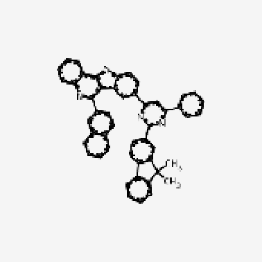 CC1(C)c2ccccc2-c2ccc(-c3nc(-c4ccccc4)cc(-c4ccc5sc6c7ccccc7nc(-c7ccc8ccccc8c7)c6c5c4)n3)cc21